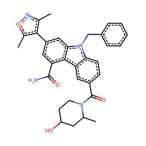 Cc1noc(C)c1-c1cc(C(N)=O)c2c3cc(C(=O)N4CCC(O)CC4C)ccc3n(Cc3ccccc3)c2c1